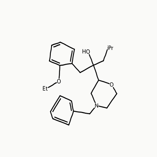 CCOc1ccccc1CC(O)(CC(C)C)C1CN(Cc2ccccc2)CCO1